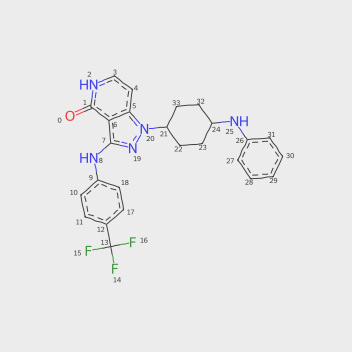 O=c1[nH]ccc2c1c(Nc1ccc(C(F)(F)F)cc1)nn2C1CCC(Nc2ccccc2)CC1